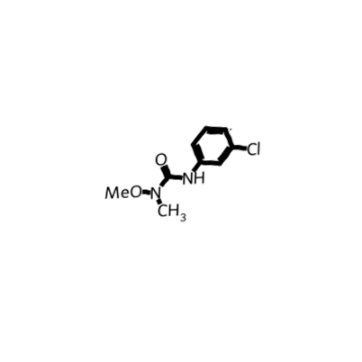 CON(C)C(=O)Nc1cc[c]c(Cl)c1